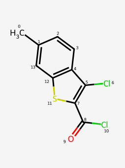 Cc1ccc2c(Cl)c(C(=O)Cl)sc2c1